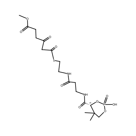 COC(=O)CCC(=O)CC(=O)SCCNC(=O)CCNC(=O)[C@@H]1OP(=O)(O)OCC1(C)C